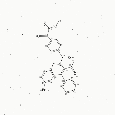 CON(C)C(=O)c1ccc(C(=O)N2Cc3ccc(Br)cc3C(c3ccccc3)=C2C(C)=O)cc1